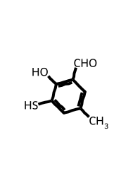 Cc1cc(S)c(O)c(C=O)c1